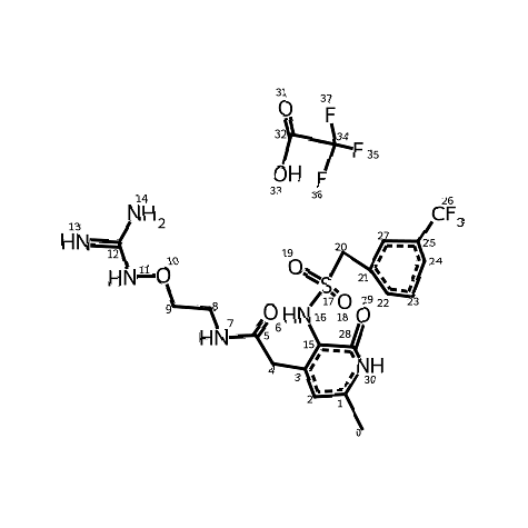 Cc1cc(CC(=O)NCCONC(=N)N)c(NS(=O)(=O)Cc2cccc(C(F)(F)F)c2)c(=O)[nH]1.O=C(O)C(F)(F)F